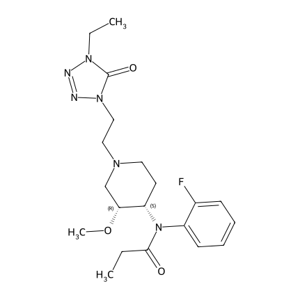 CCC(=O)N(c1ccccc1F)[C@H]1CCN(CCn2nnn(CC)c2=O)C[C@H]1OC